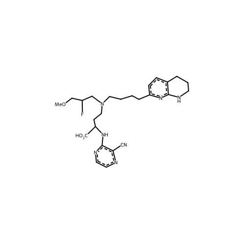 COCC(F)CN(CCCCc1ccc2c(n1)NCCC2)CCC(Nc1nccnc1C#N)C(=O)O